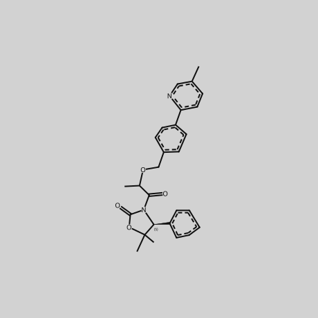 Cc1ccc(-c2ccc(COC(C)C(=O)N3C(=O)OC(C)(C)[C@@H]3c3ccccc3)cc2)nc1